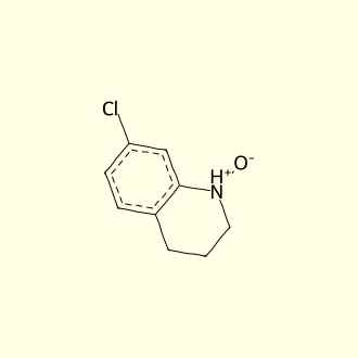 [O-][NH+]1CCCc2ccc(Cl)cc21